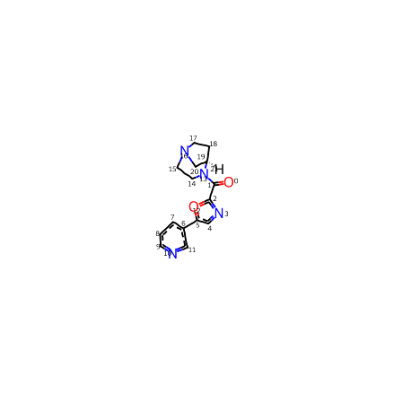 O=C(c1ncc(-c2cccnc2)o1)N1CCN2CC[C@@H]1C2